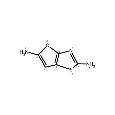 Nc1cc2sc(N)nc2o1